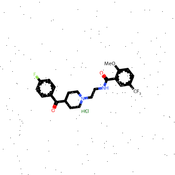 COc1ccc(C(F)(F)F)cc1C(=O)NCCN1CCC(C(=O)c2ccc(F)cc2)CC1.Cl